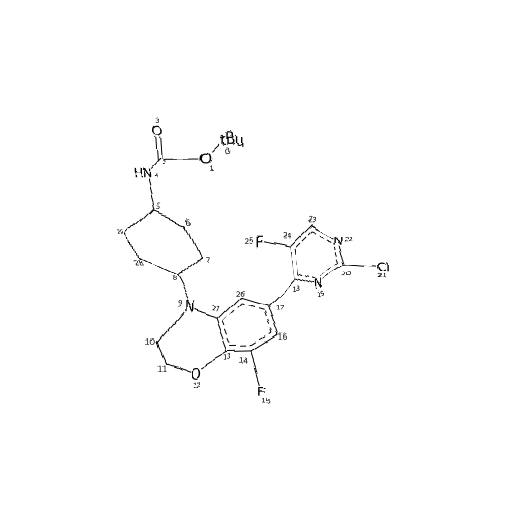 CC(C)(C)OC(=O)NC1CCC(N2CCOc3c(F)cc(-c4nc(Cl)ncc4F)cc32)CC1